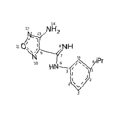 CC(C)c1cccc(NC(=N)c2nonc2N)c1